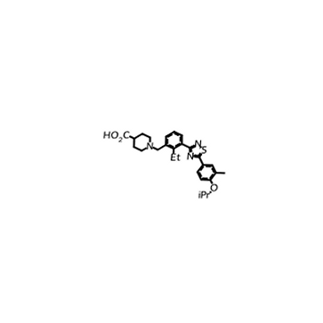 CCc1c(CN2CCC(C(=O)O)CC2)cccc1-c1nsc(-c2ccc(OC(C)C)c(C)c2)n1